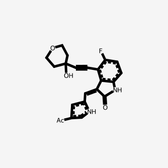 CC(=O)c1c[nH]c(C=C2C(=O)Nc3ccc(F)c(C#CC4(O)CCOCC4)c32)c1